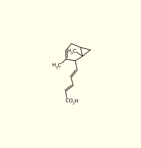 CC1=CCC2CC2(C)C1/C=C/C=C/C(=O)O